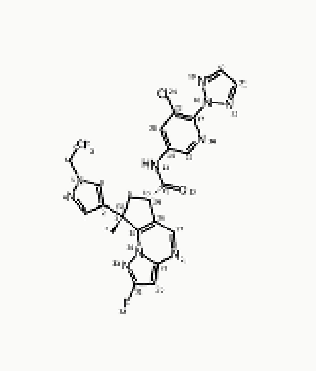 C[C@@]1(c2cnn(CC(F)(F)F)c2)C[C@H](C(=O)Nc2cnc(-n3nccn3)c(Cl)c2)c2cnc3cc(F)nn3c21